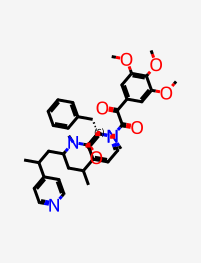 COc1cc(C(=O)C(=O)N(C)[C@@H](Cc2ccccc2)C(=O)N(C)C(CC(C)c2ccncc2)CC(C)c2ccncc2)cc(OC)c1OC